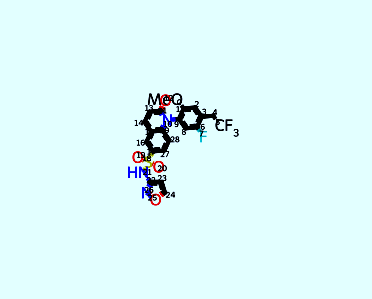 COc1cc(CC(F)(F)F)c(F)cc1-n1c(=O)ccc2cc(S(=O)(=O)Nc3ccon3)ccc21